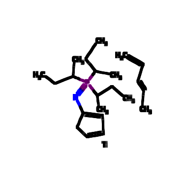 C=CC=CC.CCC(C)P(=NC1=CC=CC1)(C(C)CC)C(C)CC.[Ti]